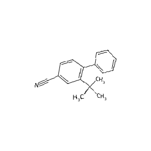 CC(C)(C)c1cc(C#N)ccc1-c1ccccc1